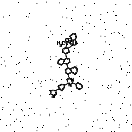 CC1(C)c2ccc(-c3ccc(-c4ccc(-c5cc(-c6ccc(-c7cccnc7)cc6)nc(-c6ccccc6)n5)c5ccccc45)c4ccccc34)cc2-c2ccc3ccccc3c21